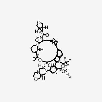 CO[C@@H](C)c1ncc(N2CCN3CCOC[C@@H]3C2)cc1-c1c2c3cc(ccc3n1CC(F)(F)F)-c1csc(n1)C[C@H](NC(=O)[C@H]1[C@@H]3COC[C@@H]31)C(=O)N1CCC[C@H](N1)C(=O)OCC(C)(C)C2